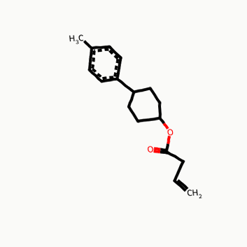 C=CCC(=O)OC1CCC(c2ccc(C)cc2)CC1